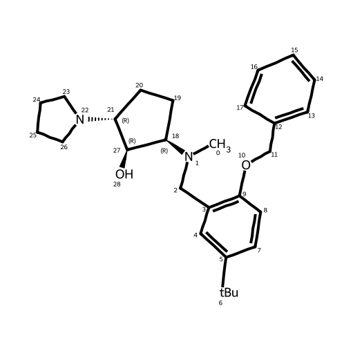 CN(Cc1cc(C(C)(C)C)ccc1OCc1ccccc1)[C@@H]1CC[C@@H](N2CCCC2)[C@@H]1O